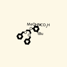 COc1c(NC(=O)O)cc(C(C)(C)C)cc1OC(COCc1ccccc1)COCc1ccccc1